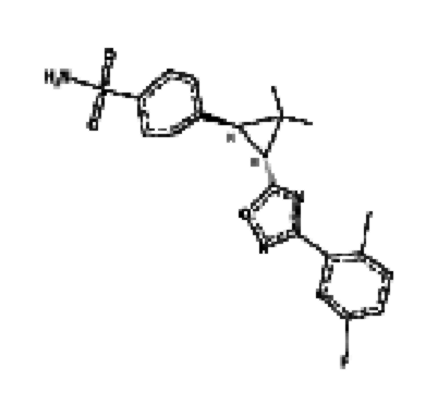 Cc1ccc(F)cc1-c1noc([C@@H]2[C@@H](c3ccc(S(N)(=O)=O)cc3)C2(C)C)n1